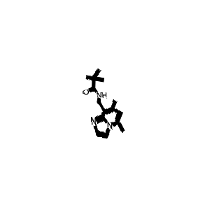 Cc1cc(C)n2ccnc2c1CNC(=O)C(C)(C)C